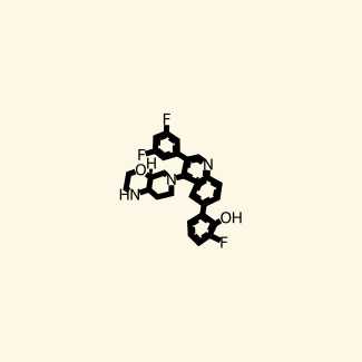 Oc1c(F)cccc1-c1ccc2ncc(-c3cc(F)cc(F)c3)c(N3CCC4NCCO[C@@H]4C3)c2c1